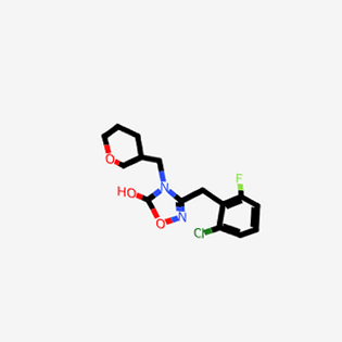 OC1ON=C(Cc2c(F)cccc2Cl)N1CC1CCCOC1